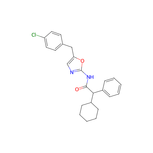 O=C(Nc1ncc(Cc2ccc(Cl)cc2)o1)C(c1ccccc1)C1CCCCC1